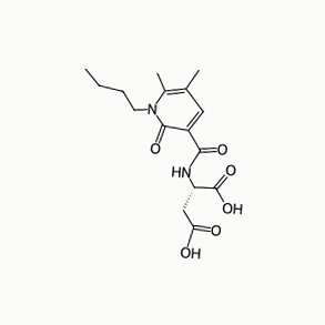 CCCCn1c(C)c(C)cc(C(=O)N[C@@H](CC(=O)O)C(=O)O)c1=O